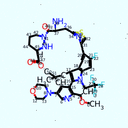 CO[C@@H](C)c1ncc(N2CCOCC2)cc1-c1c2c3cc(c(F)cc3n1CC(F)(F)F)-c1csc(n1)C[C@H](N)C(=O)N1CCC[C@H](N1)C(=O)OCC(C)(C)C2